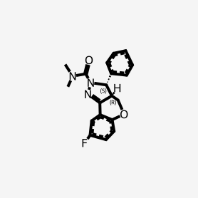 CN(C)C(=O)N1N=C2c3cc(F)ccc3OC[C@@H]2[C@H]1c1ccccc1